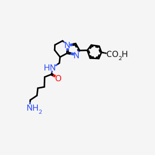 NCCCCCC(=O)NCC1CCCn2cc(-c3ccc(C(=O)O)cc3)nc21